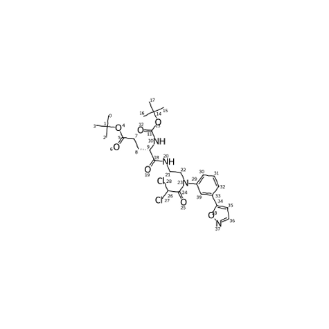 CC(C)(C)OC(=O)CC[C@H](NC(=O)OC(C)(C)C)C(=O)NCCN(C(=O)C(Cl)Cl)c1cccc(-c2ccno2)c1